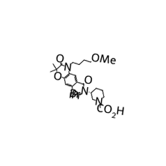 COCCCCN1C(=O)C(C)(C)Oc2cc(Br)c(C(=O)N(C(C)C)[C@@H]3CCCN(C(=O)O)C3)cc21